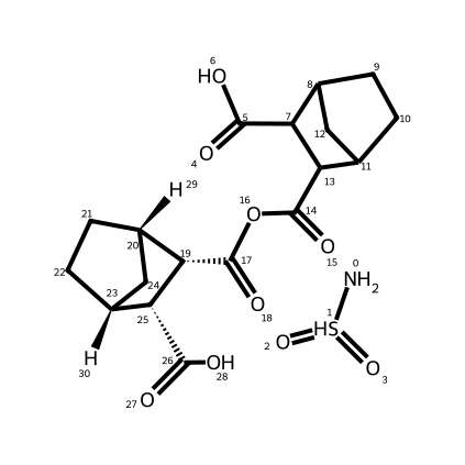 N[SH](=O)=O.O=C(O)C1C2CCC(C2)C1C(=O)OC(=O)[C@H]1[C@H]2CC[C@H](C2)[C@H]1C(=O)O